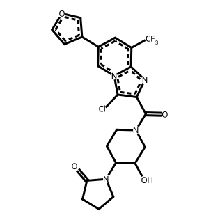 O=C(c1nc2c(C(F)(F)F)cc(-c3ccoc3)cn2c1Cl)N1CCC(N2CCCC2=O)C(O)C1